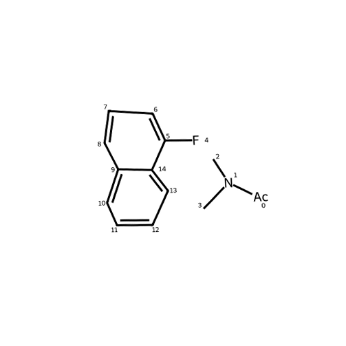 CC(=O)N(C)C.Fc1cccc2ccccc12